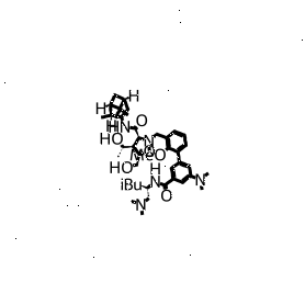 CC[C@H](C)[C@@H](CN(C)C)NC(=O)c1cc(-c2cccc(CN3O[C@@H](CO)[C@@H]([C@H](C)O)[C@H]3C(=O)NC3C[C@H]4C[C@@H]([C@@H]3C)C4(C)C)c2OC)cc(N(C)C)c1